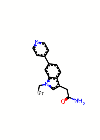 CC(C)Cn1cc(CC(N)=O)c2ccc(-c3ccncc3)cc21